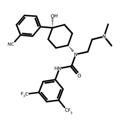 CN(C)CCN(C(=O)Nc1cc(C(F)(F)F)cc(C(F)(F)F)c1)[C@H]1CC[C@](O)(c2cccc(C#N)c2)CC1